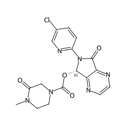 CN1CCN(C(=O)O[C@H]2c3nccnc3C(=O)N2c2ccc(Cl)cn2)CC1=O